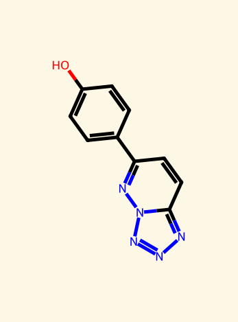 Oc1ccc(-c2ccc3nnnn3n2)cc1